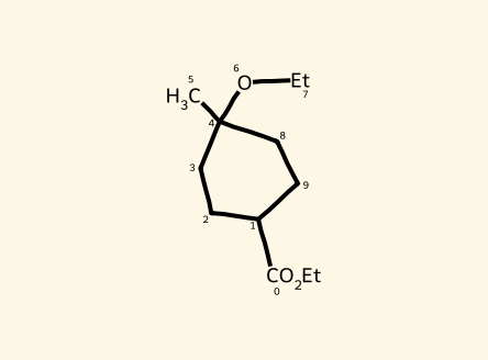 CCOC(=O)C1CCC(C)(OCC)CC1